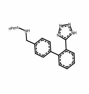 CCCCCNCc1ccc(-c2ccccc2-c2nnn[nH]2)cc1